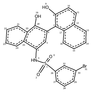 O=S(=O)(Nc1cc(-c2c(O)ccc3ccccc23)c(O)c2ccccc12)c1cccc(Br)c1